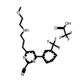 COCCNCCCc1cc(-c2cccc(C(F)(F)F)c2)nc(C#N)n1.O=C(O)C(F)(F)F